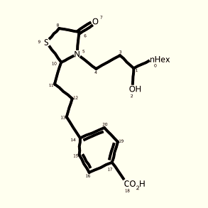 CCCCCCC(O)CCN1C(=O)CSC1CCCc1ccc(C(=O)O)cc1